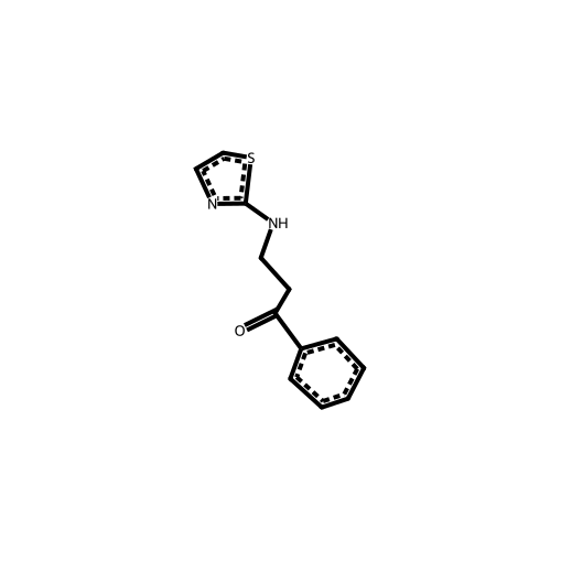 O=C(CCNc1nccs1)c1ccccc1